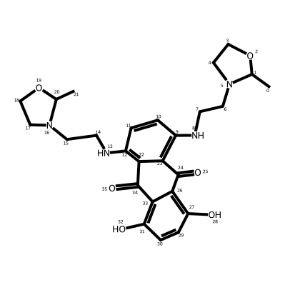 CC1OCCN1CCNc1ccc(NCCN2CCOC2C)c2c1C(=O)c1c(O)ccc(O)c1C2=O